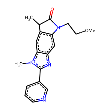 COCCN1C(=O)C(C)c2cc3c(cc21)nc(-c1cccnc1)n3C